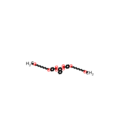 C=COCCCCCCCCCCOc1ccc(C(=O)Oc2ccc(OC(=O)c3ccc(OCCCCCCCCCCOC=C)cc3)c3ccccc23)cc1